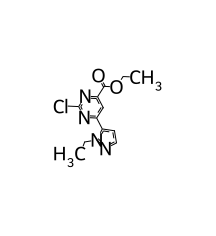 CCOC(=O)c1cc(-c2ccnn2CC)nc(Cl)n1